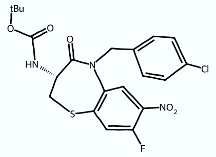 CC(C)(C)OC(=O)N[C@H]1CSc2cc(F)c([N+](=O)[O-])cc2N(Cc2ccc(Cl)cc2)C1=O